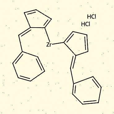 C1=CC(=Cc2ccccc2)[C]([Zr][C]2=CC=CC2=Cc2ccccc2)=C1.Cl.Cl